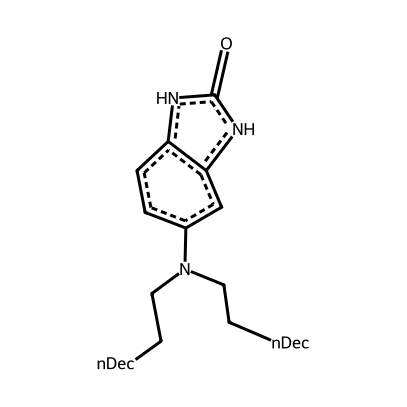 CCCCCCCCCCCCN(CCCCCCCCCCCC)c1ccc2[nH]c(=O)[nH]c2c1